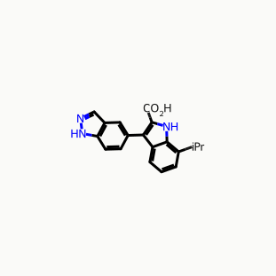 CC(C)c1cccc2c(-c3ccc4[nH]ncc4c3)c(C(=O)O)[nH]c12